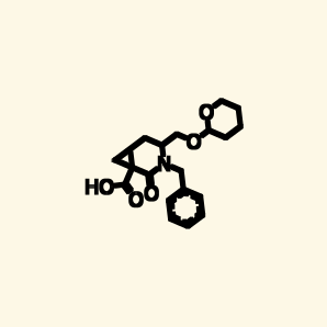 O=C(O)C12CC1CC(COC1CCCCO1)N(Cc1ccccc1)C2=O